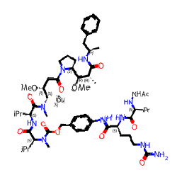 CC[C@H](C)[C@@H]([C@@H](CC(=O)N1CCC[C@H]1[C@H](OC)[C@@H](C)C(=O)N[C@H](C)Cc1ccccc1)OC)N(C)C(=O)[C@@H](NC(=O)[C@H](C(C)C)N(C)C(=O)OCc1ccc(NC(=O)[C@H](CCCNC(N)=O)NC(=O)[C@@H](NNC(C)=O)C(C)C)cc1)C(C)C